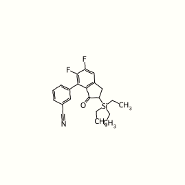 CC[Si](CC)(CC)C1Cc2cc(F)c(F)c(-c3cccc(C#N)c3)c2C1=O